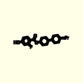 CCCC1CCC(C2CCC(OC(=O)c3ccc(O)cc3F)CC2)CC1